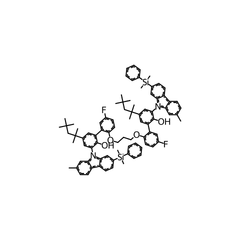 Cc1ccc2c3ccc([Si](C)(C)c4ccccc4)cc3n(-c3cc(C(C)(C)CC(C)(C)C)cc(-c4cc(F)ccc4OCCCOc4ccc(F)cc4-c4cc(C(C)(C)CC(C)(C)C)cc(-n5c6cc(C)ccc6c6ccc([Si](C)(C)c7ccccc7)cc65)c4O)c3O)c2c1